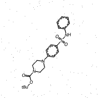 CC(C)(C)OC(=O)N1CCN(c2ccc(S(=O)(=O)Nc3ccccc3)cc2)CC1